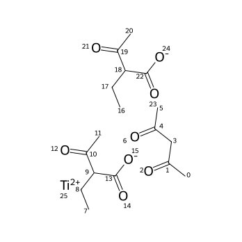 CC(=O)CC(C)=O.CCC(C(C)=O)C(=O)[O-].CCC(C(C)=O)C(=O)[O-].[Ti+2]